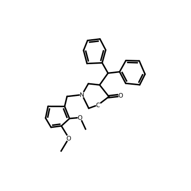 COc1cccc(CN2CCC(=O)C(C(c3ccccc3)c3ccccc3)C2)c1OC